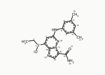 CC[S+]([O-])c1cc(Nc2cc(C)cc(C)c2)nn2c(C(N)=O)cnc12